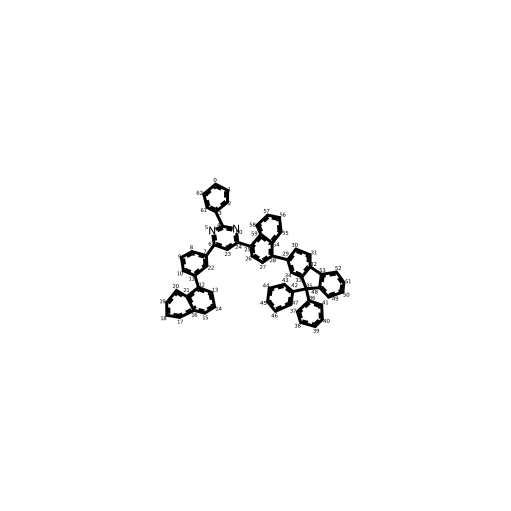 c1ccc(-c2nc(-c3cccc(-c4cccc5ccccc45)c3)cc(-c3ccc(-c4ccc5c(c4)C(c4ccccc4)(c4ccccc4)c4ccccc4-5)c4ccccc34)n2)cc1